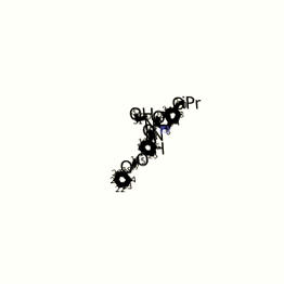 CC(C)Oc1ccc(/C=C(/NC(=O)c2ccc(OCCOc3ccccc3)cc2)C(=O)NCCO)cc1